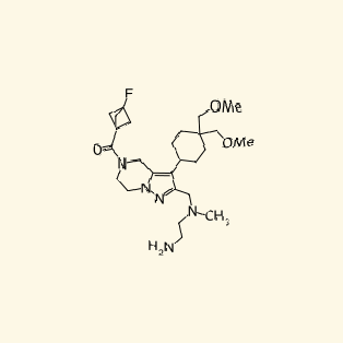 COCC1(COC)CCC(c2c(CN(C)CCN)nn3c2CN(C(=O)C24CC(F)(C2)C4)CC3)CC1